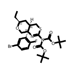 CC[C@H]1C[C@H]2CSC(N(C(=O)OC(C)(C)C)C(=O)OC(C)(C)C)=N[C@@]2(c2cc(Br)ccc2F)CO1